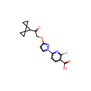 O=C(O)c1ccc(-n2ccc(OCC(=O)C3C4(CC4)C34CC4)n2)nc1Cl